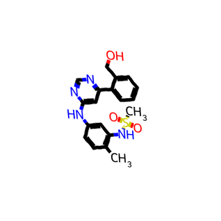 Cc1ccc(Nc2cc(-c3ccccc3CO)ncn2)cc1NS(C)(=O)=O